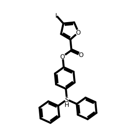 O=C(Oc1ccc([SH](c2ccccc2)c2ccccc2)cc1)c1cc(I)co1